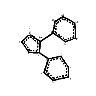 [c]1ccccc1-c1ccsc1-c1ccccc1